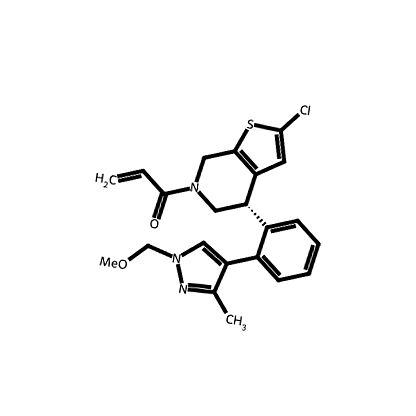 C=CC(=O)N1Cc2sc(Cl)cc2[C@H](c2ccccc2-c2cn(COC)nc2C)C1